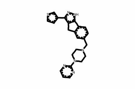 c1cnc(N2CCN(Cc3ccc4c(c3)Cc3c(-c5ccsc5)n[nH]c3-4)CC2)nc1